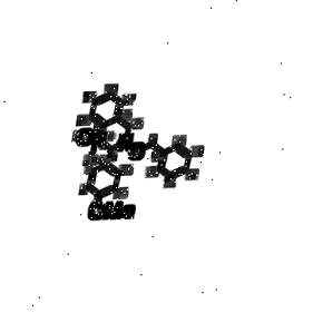 COc1ccc(C2N(OCc3ccccc3)Cc3ccccc3[N+]2(C)[O-])cc1